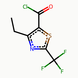 CCc1nc(C(F)(F)F)sc1C(=O)Cl